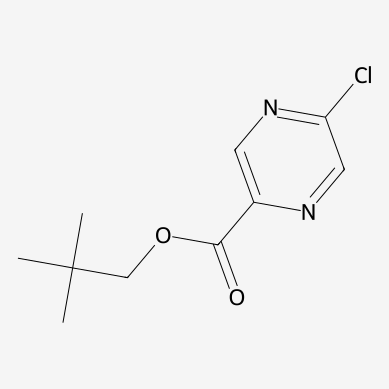 CC(C)(C)COC(=O)c1cnc(Cl)cn1